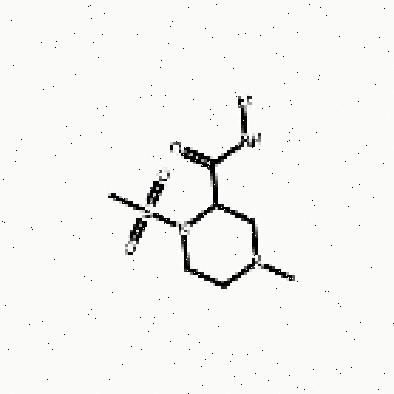 CCNC(=O)C1CN(C)CCN1S(C)(=O)=O